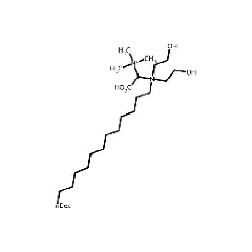 CCCCCCCCCCCCCCCCCCCCCC[N+](CCO)(CCO)C(C(=O)O)[N+](C)(C)C